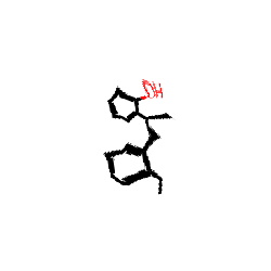 CCc1ccccc1CC(C)c1ccccc1O